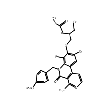 COc1ccc(Cn2c(=O)c3c(C)nccc3c3cc(Br)c(OC[C@H](CC(C)C)NC(=O)OC(C)(C)C)c(F)c32)cc1